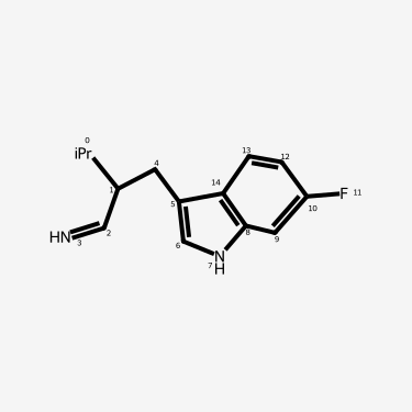 CC(C)C(C=N)Cc1c[nH]c2cc(F)ccc12